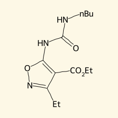 CCCCNC(=O)Nc1onc(CC)c1C(=O)OCC